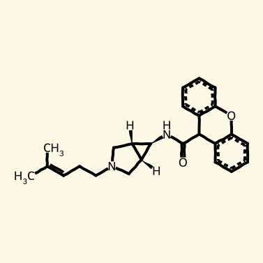 CC(C)=CCCN1C[C@@H]2[C@H](C1)[C@H]2NC(=O)C1c2ccccc2Oc2ccccc21